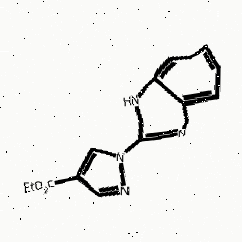 CCOC(=O)c1cnn(-c2nc3ccccc3[nH]2)c1